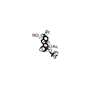 CC(=O)O[C@@H]1C[C@@]23COC[C@@](C)([C@@H]2CC[C@H]2C3=CC[C@@]3(C)[C@H](C(=O)O)[C@@](C)([C@H](C)C(C)C)CC[C@]23C)[C@H]1OCC(C)(C(C)C)N(C)C